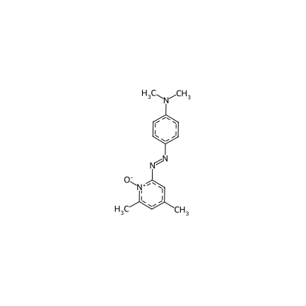 Cc1cc(C)[n+]([O-])c(N=Nc2ccc(N(C)C)cc2)c1